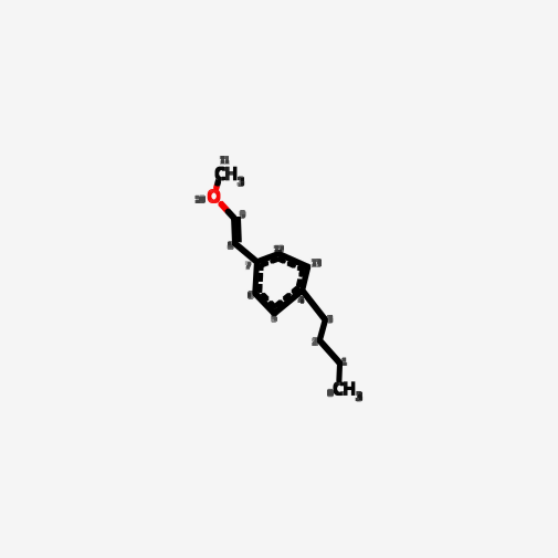 CCCCc1ccc(/C=C/OC)cc1